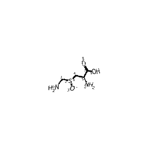 NC[S+]([O-])C[C@H](N)C(=O)O